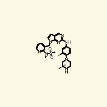 C[C@H]1CN(c2ccc(Nc3ncc4ccn(Cc5cccnc5N(C)S(C)(=O)=O)c4n3)cc2F)CCN1